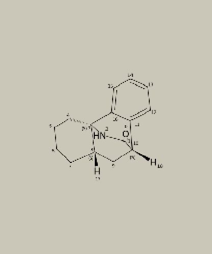 O=C1N[C@@]23CCCC[C@H]2C[C@H]1c1ccccc13